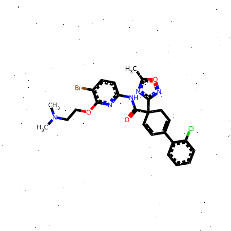 Cc1nc(C2(C(=O)Nc3ccc(Br)c(OCCN(C)C)n3)C=CC(c3ccccc3Cl)=CC2)no1